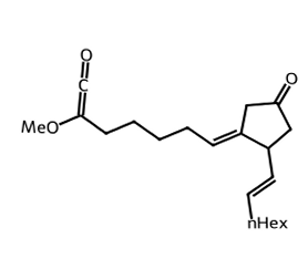 CCCCCCC=CC1CC(=O)CC1=CCCCCC(=C=O)OC